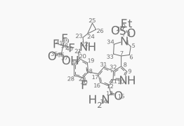 CCS(=O)(=O)N1CCC(c2c[nH]c3c(C(N)=O)cc(-c4cc(CNCC5CC5)ccc4F)cc23)CC1.O=C(O)C(F)(F)F